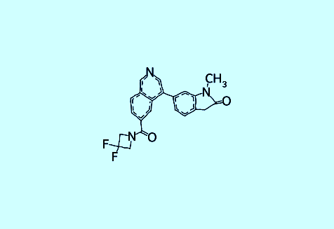 CN1C(=O)Cc2ccc(-c3cncc4ccc(C(=O)N5CC(F)(F)C5)cc34)cc21